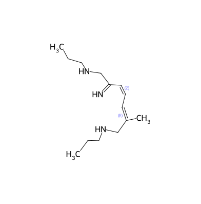 CCCNCC(=N)/C=C\C=C(/C)CNCCC